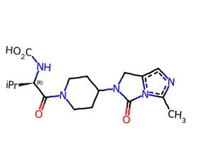 Cc1ncc2n1C(=O)N(C1CCN(C(=O)[C@H](NC(=O)O)C(C)C)CC1)C2